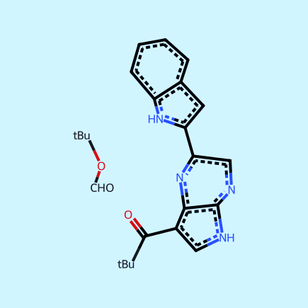 CC(C)(C)C(=O)c1c[nH]c2ncc(-c3cc4ccccc4[nH]3)nc12.CC(C)(C)OC=O